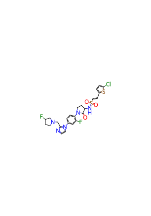 O=C1C(NS(=O)(=O)/C=C/c2ccc(Cl)s2)CCN1c1ccc(-n2ccnc2CN2CCC(F)C2)cc1F